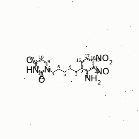 Nc1c(CCCCCn2ccc(=O)[nH]c2=O)ccc([N+](=O)[O-])c1N=O